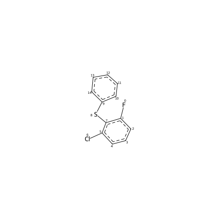 Fc1cccc(Cl)c1Sc1ccccc1